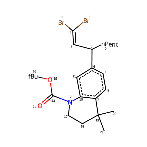 CCCCCC(C=C(Br)Br)c1ccc2c(c1)N(C(=O)OC(C)(C)C)CCC2(C)C